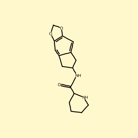 O=C(NC1Cc2cc3c(cc2C1)OCO3)C1CCCCN1